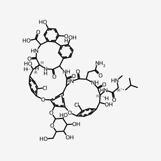 CN[C@H](CC(C)C)C(=O)N[C@@H]1C(=O)NC(CC(N)=O)C(=O)NC2C(=O)NC3C(=O)N[C@H](C(=O)NC(C(=O)O)c4cc(O)cc(O)c4-c4cc3ccc4O)[C@H](O)c3ccc(c(Cl)c3)Oc3cc2cc(c3OC2OC(CO)C(O)C(O)C2O)Oc2ccc(cc2Cl)C1O